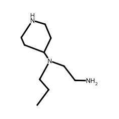 CCCN(CCN)C1CCNCC1